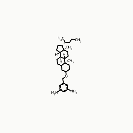 CCCC(C)[C@H]1CC[C@H]2[C@@H]3CCC4CC(OCc5cc(N)cc(N)c5)CC[C@]4(C)[C@H]3CC[C@]12C